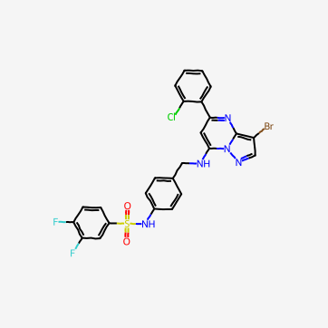 O=S(=O)(Nc1ccc(CNc2cc(-c3ccccc3Cl)nc3c(Br)cnn23)cc1)c1ccc(F)c(F)c1